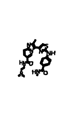 CNC(=O)c1ccc(Nc2nc(-c3c(C)nc4ccc(C(=O)NCCN(C)C)cn34)cs2)cc1